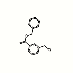 C=C(OCc1ccccc1)c1cccc(CCl)c1